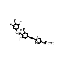 CCCCCc1cnc(C#Cc2cc(F)c(C(F)(F)Oc3cc(F)c(F)c(F)c3)c(F)c2)nc1